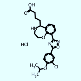 CC(C)Oc1ccc(-c2nc(-c3cccc4c3OCCNC4CCCC(=O)O)no2)cc1Cl.Cl